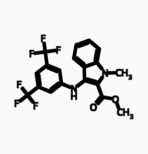 COC(=O)c1c(Nc2cc(C(F)(F)F)cc(C(F)(F)F)c2)c2ccccc2n1C